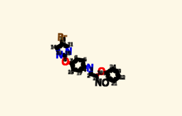 O=NC(C=Nc1ccc(Oc2ncc(Br)cn2)cc1)Oc1ccccc1